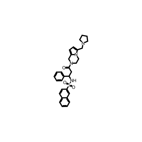 O=C(CC(NS(=O)(=O)c1ccc2ccccc2c1)c1ccccc1)N1CCn2c(CN3CCCC3)ccc2C1